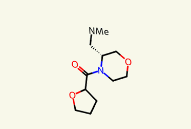 CNC[C@@H]1COCCN1C(=O)C1CCCO1